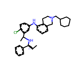 C/C=C(\NC(C)c1cc(Nc2cccc3c2CCN(CC2CCCCC2)C3)ccc1Cl)c1ccccc1